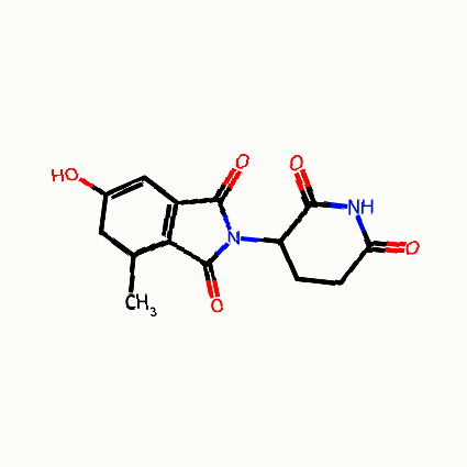 CC1CC(O)=CC2=C1C(=O)N(C1CCC(=O)NC1=O)C2=O